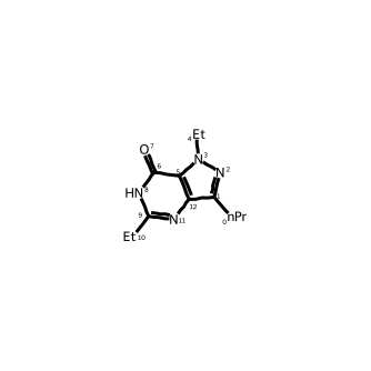 CCCc1nn(CC)c2c(=O)[nH]c(CC)nc12